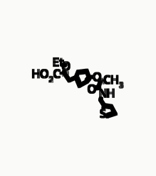 CCO[C@@H](Cc1ccc(O[C@H](C)C(=O)NCc2cccs2)cc1)C(=O)O